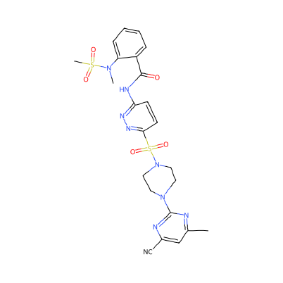 Cc1cc(C#N)nc(N2CCN(S(=O)(=O)c3ccc(NC(=O)c4ccccc4N(C)S(C)(=O)=O)nn3)CC2)n1